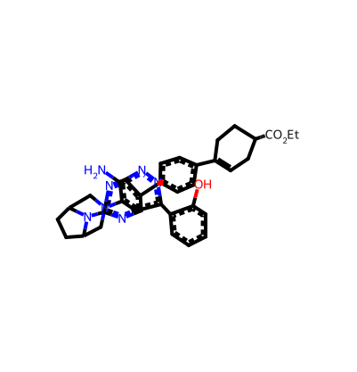 CCOC(=O)C1CC=C(c2ccc(-c3cnc(N4C5CCC4CN(c4cc(-c6ccccc6O)nnc4N)C5)nc3)cc2)CC1